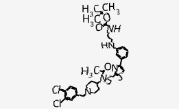 CC(=O)N(Sc1nc(-c2cccc(NCCNC(=O)OC(C)(C)C)c2)cs1)C1CCN(Cc2ccc(Cl)c(Cl)c2)CC1